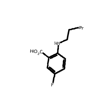 CC(C)CCNc1ccc(F)cc1C(=O)O